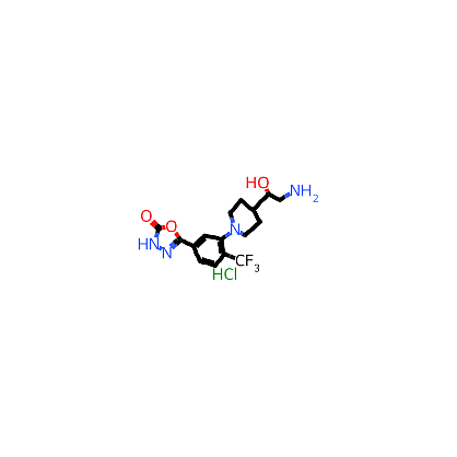 Cl.NCC(O)C1CCN(c2cc(-c3n[nH]c(=O)o3)ccc2C(F)(F)F)CC1